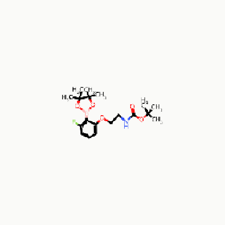 CC(C)(C)OC(=O)NCCOc1cccc(F)c1B1OC(C)(C)C(C)(C)O1